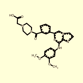 COc1ccc(Nc2nc(-c3cccc(C(=O)N4CCN(CC(=O)O)CC4)c3)cn3ccnc23)cc1OC